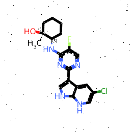 C[C@]1(O)CCCC[C@@H]1Nc1nc(C2=CNC3NC=C(Cl)C=C23)ncc1F